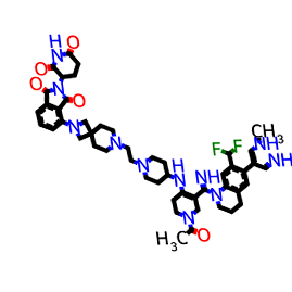 CN/C=C(\C=N)c1cc2c(cc1C(F)F)N(C(=N)C1=C(NC3CCN(CCN4CCC5(CC4)CN(c4cccc6c4C(=O)N(C4CCC(=O)NC4=O)C6=O)C5)CC3)CCN(C(C)=O)C1)CCC2